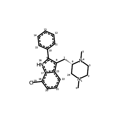 CN1CCN(C)[C@@H](Cc2c(-c3ccccc3)[nH]c3c(Cl)cccc23)C1